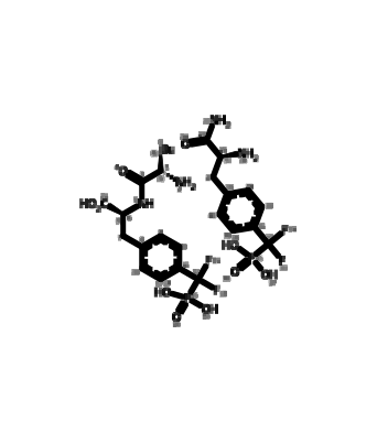 CC[C@H](C)[C@H](N)C(=O)N[C@@H](Cc1ccc(C(F)(F)P(=O)(O)O)cc1)C(=O)O.NC(=O)[C@@H](N)Cc1ccc(C(F)(F)P(=O)(O)O)cc1